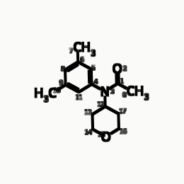 CC(=O)N(c1cc(C)cc(C)c1)C1CCOCC1